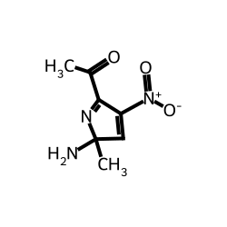 CC(=O)C1=NC(C)(N)C=C1[N+](=O)[O-]